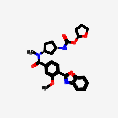 COc1cc(C(=O)N(C)[C@@H]2CC[C@H](NC(=O)O[C@H]3CCCO3)C2)ccc1-c1nc2ccccc2o1